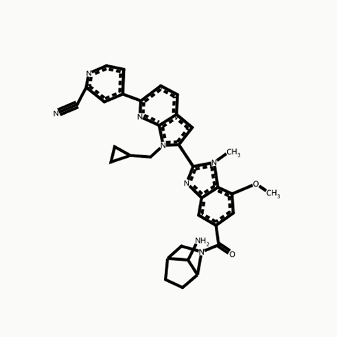 COc1cc(C(=O)N2CC3CCC2C3N)cc2nc(-c3cc4ccc(-c5ccnc(C#N)c5)nc4n3CC3CC3)n(C)c12